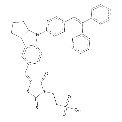 O=C1/C(=C\c2ccc3c(c2)C2CCCC2N3c2ccc(C=C(c3ccccc3)c3ccccc3)cc2)SC(=S)N1CCS(=O)(=O)O